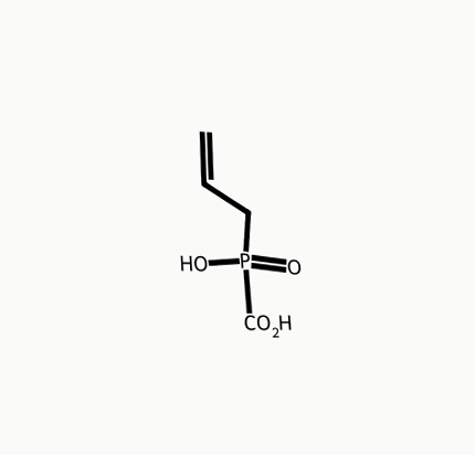 C=CCP(=O)(O)C(=O)O